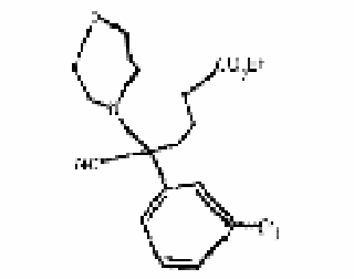 CCOC(=O)CCC(C#N)(c1cccc(C)c1)N1CCOCC1